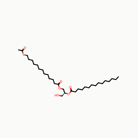 CCCCCCCCCCCCCCC(=O)O[C@@H](CO)COC(=O)CCCCCCCCCCCCSC(C)=O